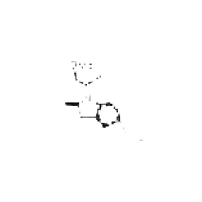 COCC(C)N1C(=O)Cc2cc([N+](=O)[O-])ccc21